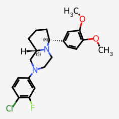 COc1ccc([C@H]2CCC[C@H]3CN(c4ccc(Cl)c(F)c4)CCN32)cc1OC